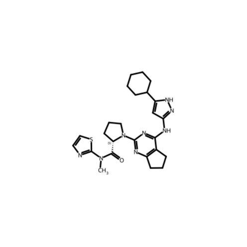 CN(C(=O)[C@@H]1CCCN1c1nc2c(c(Nc3cc(C4CCCCC4)[nH]n3)n1)CCC2)c1nccs1